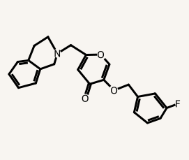 O=c1cc(CN2CCc3ccccc3C2)occ1OCc1cccc(F)c1